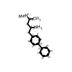 CNC(C)CC(N)Cc1ccc(-c2ccccc2)cc1